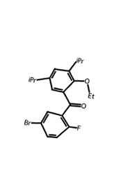 CCOc1c(C(=O)c2cc(Br)ccc2F)cc(C(C)C)cc1C(C)C